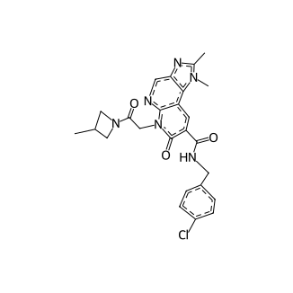 Cc1nc2cnc3c(cc(C(=O)NCc4ccc(Cl)cc4)c(=O)n3CC(=O)N3CC(C)C3)c2n1C